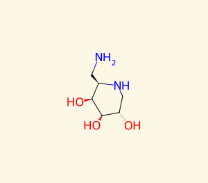 NC[C@H]1NC[C@H](O)[C@@H](O)[C@H]1O